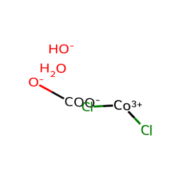 O.O=C([O-])[O-].[Cl][Co+3][Cl].[OH-]